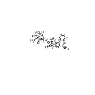 CCOCc1nc2c(N)nc3ccccc3c2n1CC(C)(C)OCCNC(=O)C(C)(C)NC(=O)O